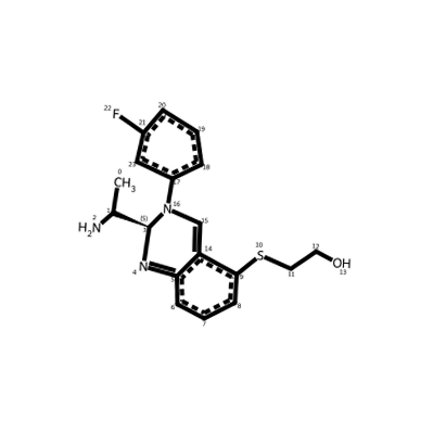 CC(N)[C@@H]1N=c2cccc(SCCO)c2=CN1c1cccc(F)c1